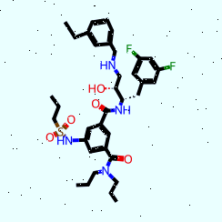 CCCN(CCC)C(=O)c1cc(NS(=O)(=O)CCC)cc(C(=O)N[C@@H](Cc2cc(F)cc(F)c2)[C@H](O)CNCc2cccc(CC)c2)c1